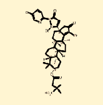 CCn1c([C@@]23CC[C@]4(C)[C@H](CC[C@@H]5[C@@]6(C)CC[C@H](OC(=O)CC(C)(C)C(=O)O)C(C)(C)[C@@H]6CC[C@]54C)C2=C(C(C)C)C(=O)C3)cc(=O)n1-c1ccc(Cl)cn1